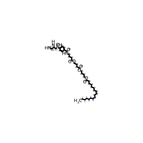 CCCCCC/C=C\C/C=C\CCCCCCC(=O)OCCCCOC(=O)/C=C/COC(=O)CCCNC(=O)c1ccc(N(C)CC(=N)C=N)cc1